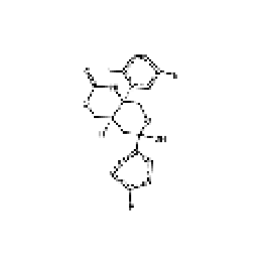 O=C1N[C@@]2(c3cc(Br)ccc3F)COC(O)(c3ccc(F)cc3)C[C@H]2CO1